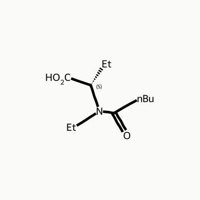 CCCCC(=O)N(CC)[C@@H](CC)C(=O)O